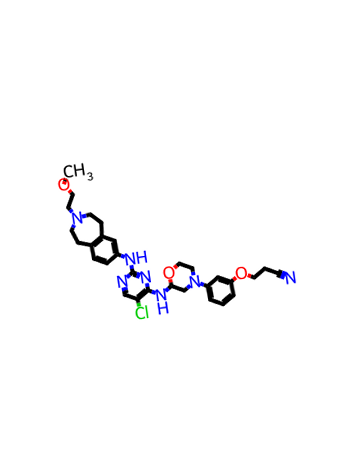 COCCN1CCc2ccc(Nc3ncc(Cl)c(NC4CN(c5cccc(OCCC#N)c5)CCO4)n3)cc2CC1